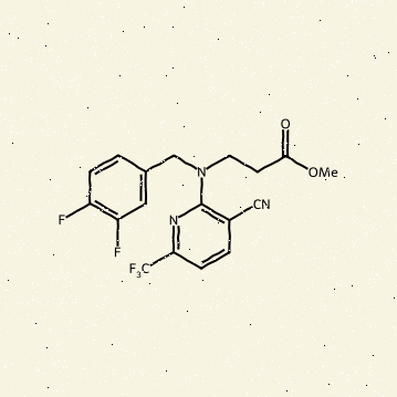 COC(=O)CCN(Cc1ccc(F)c(F)c1)c1nc(C(F)(F)F)ccc1C#N